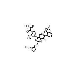 C=C(F)C(=O)N1CCN(c2nc(OCC3CCCN3C)nc3c(F)c(-c4cccc5c4[C@@H]4C[C@@H]4C5)ncc23)CC1CC#N